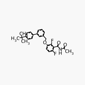 CC(=O)NC(=O)c1c(F)ccc(OCc2cccc(-c3ccc(C(C)(C)C)cc3)c2)c1F